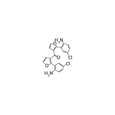 Nc1ccc(Cl)cc1-c1occc1C(=O)c1ccoc1-c1cc(Cl)ccc1N